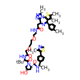 Cc1ccc(C2=NC(CC(=O)NCCOCCCOCC(=O)N[C@H](C(=O)N3C[C@@H](O)C[C@H]3C(=O)N[C@@H](C)c3ccc(-c4scnc4C)cc3)C(C)(C)C)c3nnc(C)n3-c3sc(C)c(C)c32)cc1